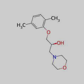 Cc1ccc(C)c(OC[C@@H](O)CN2CCOCC2)c1